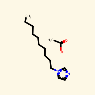 CC(=O)O.CCCCCCCCCCn1ccnc1